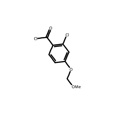 COCOc1ccc(C(=O)Cl)c(Cl)c1